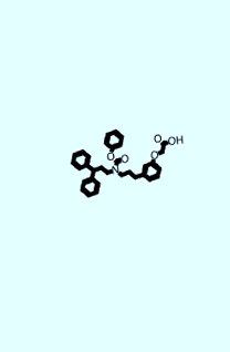 O=C(O)COc1cccc(CCCN(CCC(c2ccccc2)c2ccccc2)C(=O)Oc2ccccc2)c1